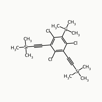 C[Si](C)(C)C#Cc1c(Cl)c(C#C[Si](C)(C)C)c(Cl)c([Si](C)(C)C)c1Cl